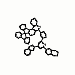 c1cc(-c2cc(-c3ccc4ccccc4c3)cc(-c3ccc4ccccc4c3)n2)cc(-c2nc3ccccc3c3c4c(ccc23)C2(c3ccccc3-c3ccccc32)c2ccccc2-4)c1